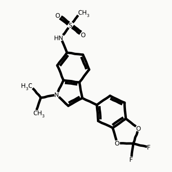 CC(C)n1cc(-c2ccc3c(c2)OC(F)(F)O3)c2ccc(NS(C)(=O)=O)cc21